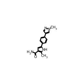 Cc1[nH]c(-c2ccc(-c3cnn(C)c3)cc2)cc1C(N)=O